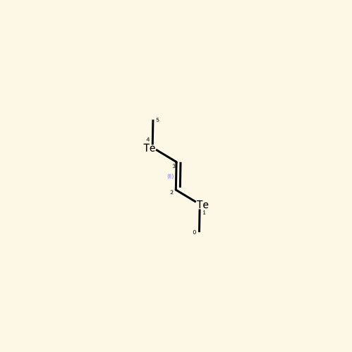 C[Te]/C=C/[Te]C